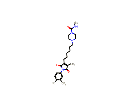 CC1=C(CCCCCCN2CCN(C(=O)NC(C)(C)C)CC2)C(=O)N(c2ccc(C#N)c(C(F)(F)F)c2)C1=O